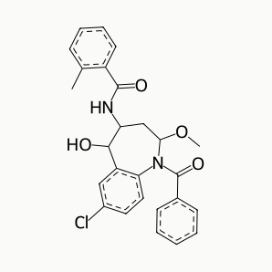 COC1CC(NC(=O)c2ccccc2C)C(O)c2cc(Cl)ccc2N1C(=O)c1ccccc1